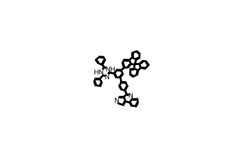 c1ccc(C2N=C(c3cc(-c4ccc(-c5nc6ccccc6c6ccncc56)cc4)cc(-c4ccc5c(c4)C4(c6ccccc6-c6ccccc64)c4ccccc4-5)c3)NC(c3ccccc3)N2)cc1